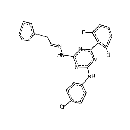 Fc1cccc(Cl)c1-c1nc(N/N=C/Cc2ccccc2)nc(Nc2ccc(Cl)cc2)n1